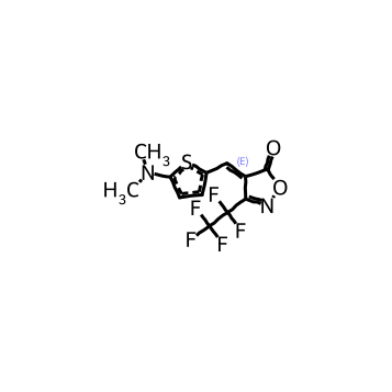 CN(C)c1ccc(/C=C2/C(=O)ON=C2C(F)(F)C(F)(F)F)s1